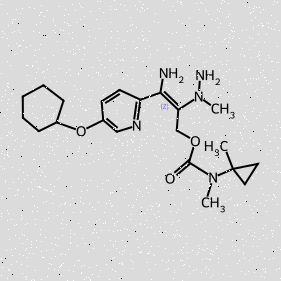 CN(N)/C(COC(=O)N(C)C1(C)CC1)=C(\N)c1ccc(OC2CCCCC2)cn1